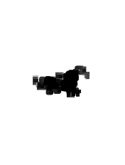 CCCC1Cc2cc(C)ccc2C(NC(=O)c2ccc(C(F)(F)F)[nH]c2=O)C1